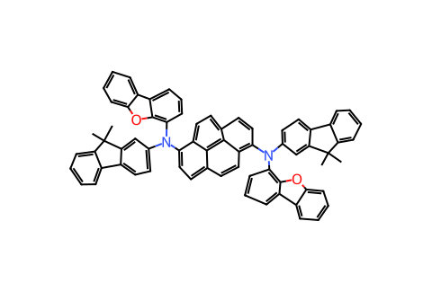 CC1(C)c2ccccc2-c2ccc(N(c3ccc4ccc5c(N(c6ccc7c(c6)C(C)(C)c6ccccc6-7)c6cccc7c6oc6ccccc67)ccc6ccc3c4c65)c3cccc4c3oc3ccccc34)cc21